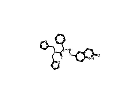 O=C([C@@H](NSc1ccc2[nH]c(=O)ccc2c1)c1ccccc1)N(Cc1ccco1)Cc1cccs1